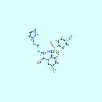 O=C(NCCCn1ccnc1)c1cc(Cl)ccc1NS(=O)(=O)c1ccc(Cl)cc1